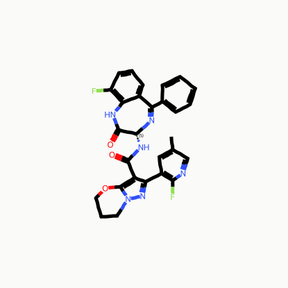 Cc1cnc(F)c(-c2nn3c(c2C(=O)N[C@H]2N=C(c4ccccc4)c4cccc(F)c4NC2=O)OCCC3)c1